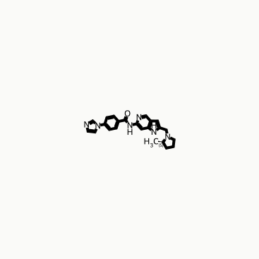 C[C@H]1CCCN1Cc1cc2cnc(NC(=O)c3ccc(-n4ccnc4)cc3)cc2[nH]1